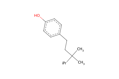 CC(C)C(C)(C)CCc1ccc(O)cc1